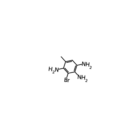 Cc1cc(N)c(N)c(Br)c1N